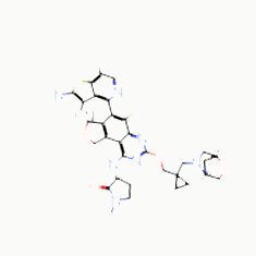 CN1CC[C@@H](Nc2nc(OCC3(CN4C[C@H]5C[C@@H]4CO5)CC3)nc3c(F)c(-c4ncc(F)c5sc(N)c(C#N)c45)c4c(c23)COC4)C1=O